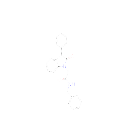 O=C(CN1C(=O)C(c2ccccc2)c2ccccc21)NCc1ccccc1